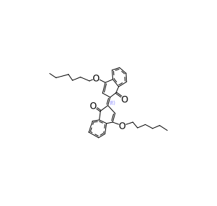 CCCCCCOC1=C/C(=C2/C=C(OCCCCCC)c3ccccc3C2=O)C(=O)c2ccccc21